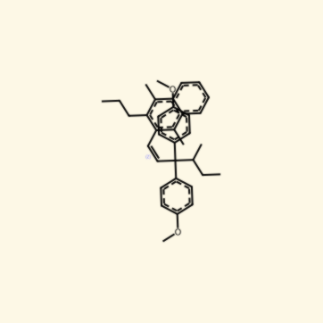 CCCc1c(/C=C\C(c2ccc(OC)cc2)(c2ccc(OC)cc2)C(C)CC)c(C)c2ccccc2c1C